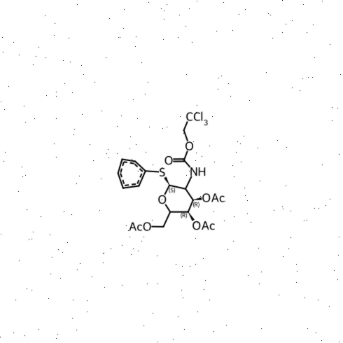 CC(=O)OCC1O[C@@H](Sc2ccccc2)C(NC(=O)OCC(Cl)(Cl)Cl)[C@@H](OC(C)=O)[C@H]1OC(C)=O